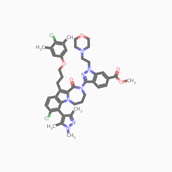 COC(=O)c1ccc2c(N3CCCn4c(c(CCCOc5cc(C)c(Cl)c(C)c5)c5ccc(Cl)c(-c6c(C)nn(C)c6C)c54)C3=O)nn(CCN3CCOCC3)c2c1